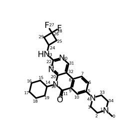 CN1CCN(c2ccc3c(c2)c(=O)n(C2CCCCC2)c2nc(NC4CC(F)(F)C4)ncc32)CC1